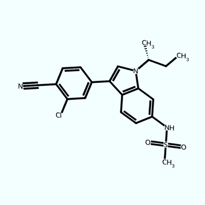 CC[C@@H](C)n1cc(-c2ccc(C#N)c(Cl)c2)c2ccc(NS(C)(=O)=O)cc21